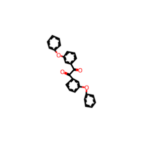 O=C(C(=O)c1cccc(Oc2ccccc2)c1)c1cccc(Oc2ccccc2)c1